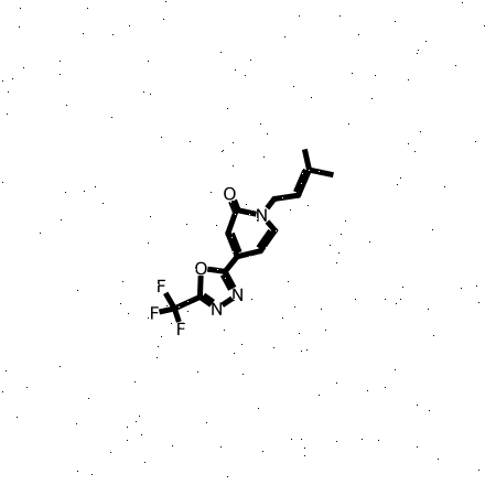 CC(C)=CCn1ccc(-c2nnc(C(F)(F)F)o2)cc1=O